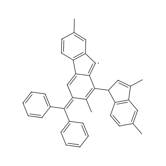 CC1=CC(c2c(C)c(=C(c3ccccc3)c3ccccc3)cc3c2=[C]c2cc(C)ccc2-3)c2ccc(C)cc21